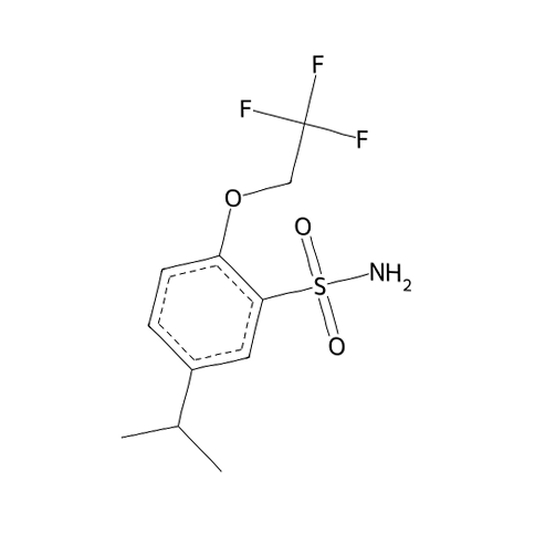 CC(C)c1ccc(OCC(F)(F)F)c(S(N)(=O)=O)c1